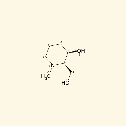 CN1CCC[C@@H](O)[C@H]1CO